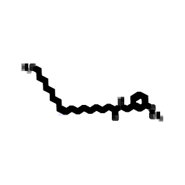 CCCCCCCC/C=C\CCCCCCCC(=O)NCc1cccc(OC)c1